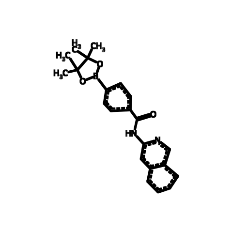 CC1(C)OB(c2ccc(C(=O)Nc3cc4ccccc4cn3)cc2)OC1(C)C